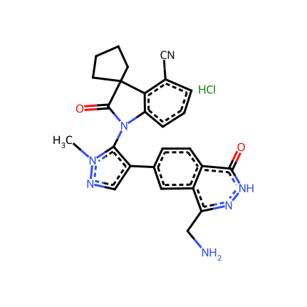 Cl.Cn1ncc(-c2ccc3c(=O)[nH]nc(CN)c3c2)c1N1C(=O)C2(CCCC2)c2c(C#N)cccc21